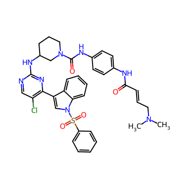 CN(C)CC=CC(=O)Nc1ccc(NC(=O)N2CCCC(Nc3ncc(Cl)c(-c4cn(S(=O)(=O)c5ccccc5)c5ccccc45)n3)C2)cc1